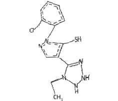 CCN1NNN=C1c1cnn(-c2ccccc2Cl)c1S